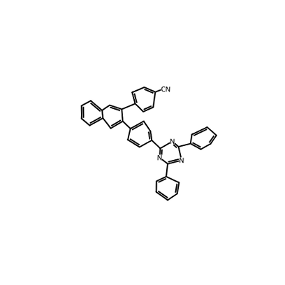 N#Cc1ccc(-c2cc3ccccc3cc2-c2ccc(-c3nc(-c4ccccc4)nc(-c4ccccc4)n3)cc2)cc1